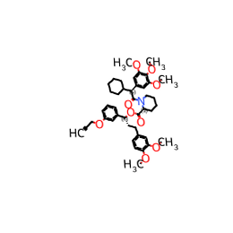 C#CCOc1cccc([C@@H](CCc2ccc(OC)c(OC)c2)OC(=O)[C@@H]2CCCCN2C(=O)[C@H](c2cc(OC)c(OC)c(OC)c2)C2CCCCC2)c1